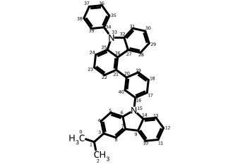 CC(C)c1ccc2c(c1)c1ccccc1n2-c1cccc(-c2cccc3c2c2ccccc2n3-c2ccccc2)c1